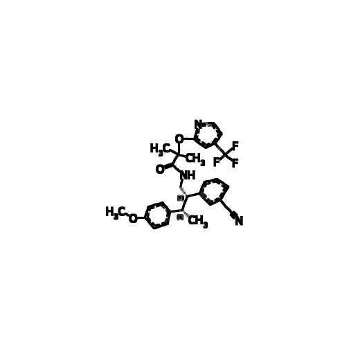 COc1ccc([C@@H](C)[C@H](CNC(=O)C(C)(C)Oc2cc(C(F)(F)F)ccn2)c2cccc(C#N)c2)cc1